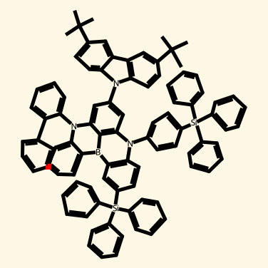 CC(C)(C)c1ccc2c(c1)c1cc(C(C)(C)C)ccc1n2-c1cc2c3c(c1)N(c1ccccc1-c1ccccc1)c1ccccc1B3c1cc([Si](c3ccccc3)(c3ccccc3)c3ccccc3)ccc1N2c1ccc([Si](c2ccccc2)(c2ccccc2)c2ccccc2)cc1